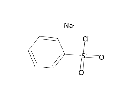 O=S(=O)(Cl)c1ccccc1.[Na]